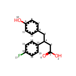 O=C(O)CC(Cc1ccc(O)cc1)c1ccc(F)cc1